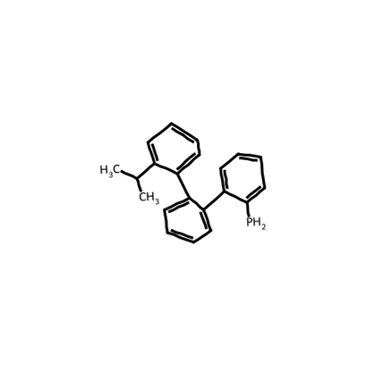 CC(C)c1ccccc1-c1ccccc1-c1ccccc1P